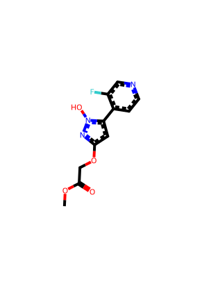 COC(=O)COc1cc(-c2ccncc2F)n(O)n1